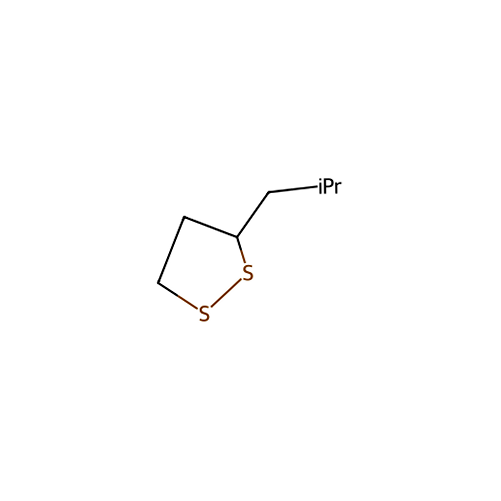 CC(C)CC1CCSS1